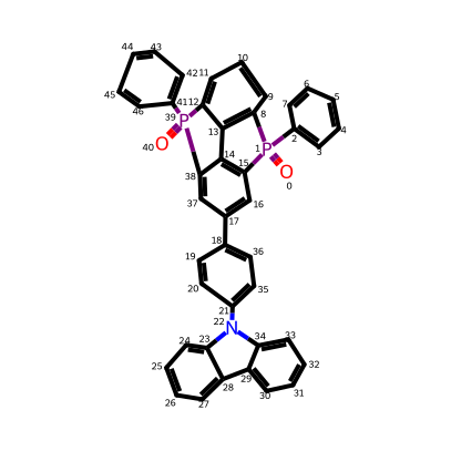 O=P1(c2ccccc2)c2cccc3c2-c2c1cc(-c1ccc(-n4c5ccccc5c5ccccc54)cc1)cc2P3(=O)c1ccccc1